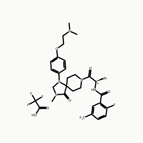 CC(C)[C@@H](NC(=O)c1cc(C(F)(F)F)ccc1F)C(=O)N1CCC2(CC1)C(=O)N(C)CN2c1ccc(OCCN(C)C)cc1.O=C(O)C(F)(F)F